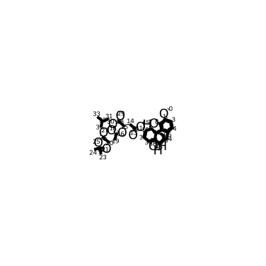 COc1ccc2c3c1O[C@H]1C(OC(=O)C[C@H](OC(=O)C[C@@H]4OC(C)(C)OC4=O)C(=O)OCC(C)C)=CC[C@@]4(O)[C@H](CCC[C@]314)C2